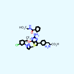 Cc1ccn(-c2cc(Cl)ccc2[C@@H](Oc2nc(N)nc3c(-c4ccc(C[C@H](N)C(=O)O)cc4)csc23)C(F)(F)F)n1.O=C(O)CNC(=O)c1ccccc1